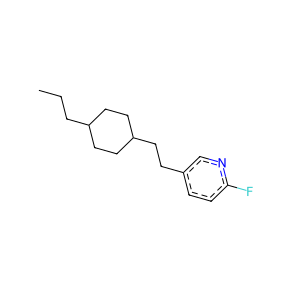 CCCC1CCC(CCc2ccc(F)nc2)CC1